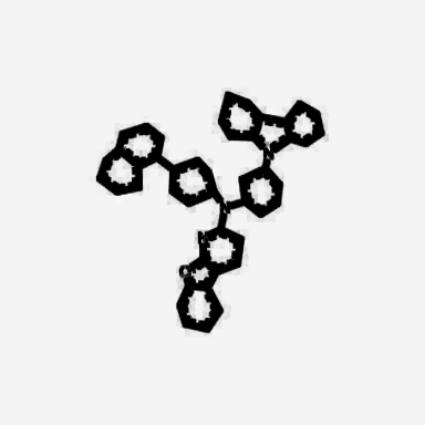 c1cc(N(c2ccc(-c3cccc4ccccc34)cc2)c2ccc3c(n2)oc2ccccc23)cc(-n2c3ccccc3c3ccccc32)c1